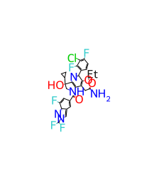 CCOc1c(CC(N)=O)cc([C@@](O)(CNC(=O)c2cc(F)c3nn(C(F)F)cc3c2)C2CC2)nc1-c1ccc(F)c(Cl)c1F